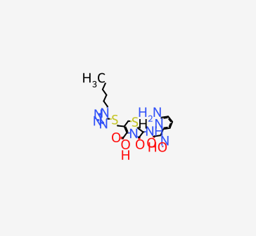 CCCCCCn1nnnc1SCC1=C(C(=O)O)N2C(=O)C(NC(=O)/C(=N\O)c3cccc(N)n3)[C@H]2SC1